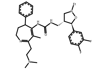 CCN1C[C@@H](CNC(=O)NC2=C(C)C(CCN(C)C)=NCCC2c2ccccc2)[C@H](c2ccc(F)c(F)c2)O1